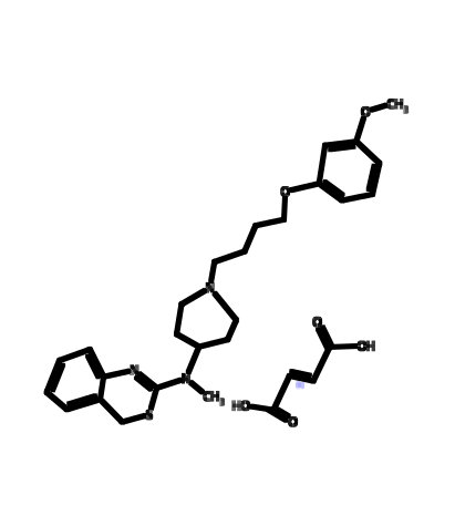 COc1cccc(OCCCCN2CCC(N(C)C3=Nc4ccccc4CS3)CC2)c1.O=C(O)/C=C/C(=O)O